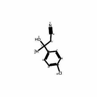 [2H]C(O)(CC#N)c1ccc(Cl)cc1